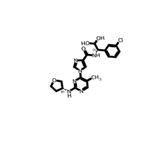 Cc1cnc(N[C@@H]2CCOC2)nc1-n1cnc(C(=O)N[C@@H](c2cccc(Cl)c2)C(O)O)c1